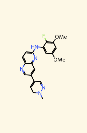 COc1cc(Nc2ccc3ncc(C4=CCN(C)N=C4)cc3n2)c(F)c(OC)c1